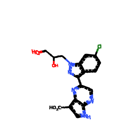 O=C(O)c1c[nH]c2ncc(-c3nn(CC(O)CO)c4cc(Cl)ccc34)nc12